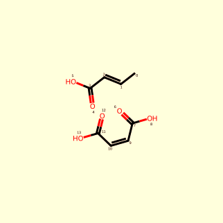 C/C=C/C(=O)O.O=C(O)/C=C\C(=O)O